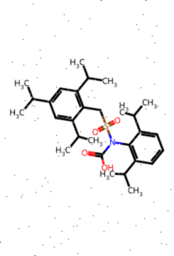 CC(C)c1cc(C(C)C)c(CS(=O)(=O)N(C(=O)O)c2c(C(C)C)cccc2C(C)C)c(C(C)C)c1